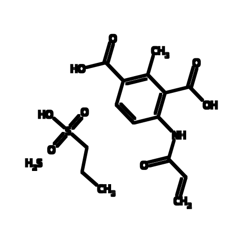 C=CC(=O)Nc1ccc(C(=O)O)c(C)c1C(=O)O.CCCS(=O)(=O)O.S